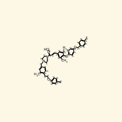 Cc1cc(CN2CCN(C(=O)/C=C/c3cc(C)c(Oc4ccc(OCc5ccc(F)cc5)cn4)c(C)c3)CC2)ccc1CCOc1ccc(F)cc1.Cl